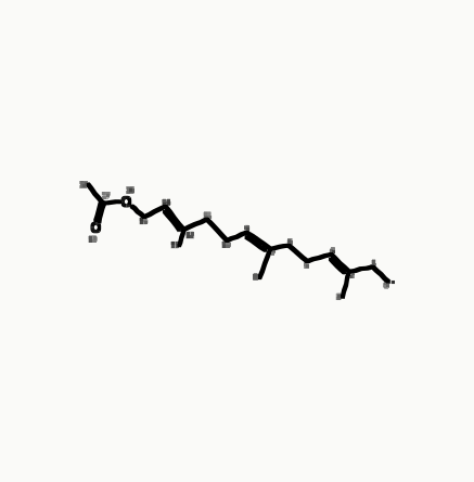 [CH2]C/C(C)=C/CC/C(C)=C/CC/C(C)=C/COC(C)=O